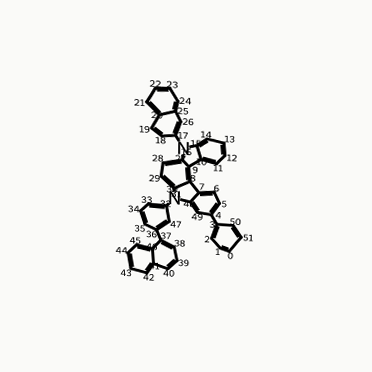 c1ccc(-c2ccc3c4c5c6ccccc6n(-c6ccc7ccccc7c6)c5ccc4n(-c4cccc(-c5cccc6ccccc56)c4)c3c2)cc1